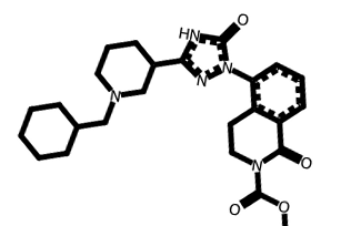 CC(C)(C)OC(=O)N1CCc2c(cccc2-n2nc(C3CCCN(CC4CCCCC4)C3)[nH]c2=O)C1=O